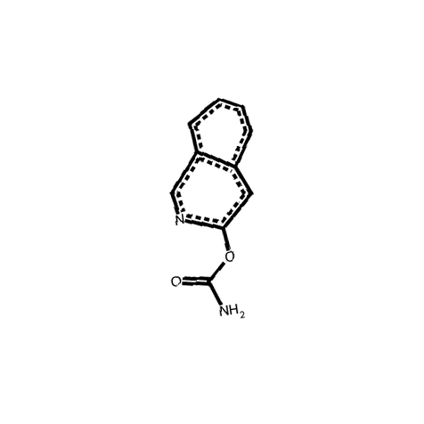 NC(=O)Oc1cc2ccccc2cn1